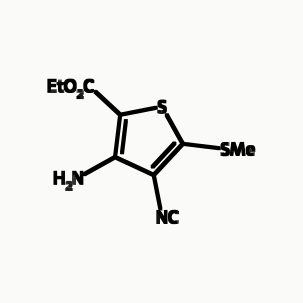 [C-]#[N+]c1c(SC)sc(C(=O)OCC)c1N